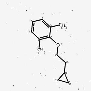 Cc1cccc(C)c1OCCC1CC1